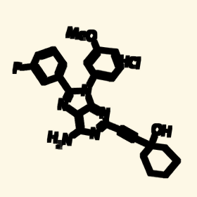 COc1cccc(-n2c(-c3cccc(F)c3)nc3c(N)nc(C#CC4(O)CCCCC4)nc32)c1.Cl